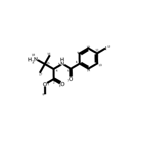 COC(=O)C(NC(=O)c1ccc(I)cc1)C(C)(C)N